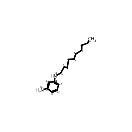 CCCCCCCCCCNc1cccc(N)c1